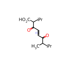 CC(C)C(C)C(=O)/C=C/C(=O)C(C(=O)O)C(C)C